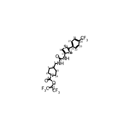 O=C(NCC1CCN(C(=O)OC(C(F)(F)F)C(F)(F)F)CC1)Nc1csc(-c2ccc(C(F)(F)F)cc2)n1